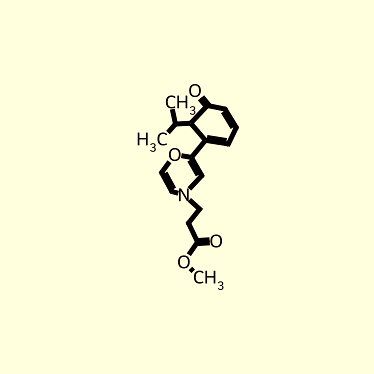 COC(=O)CCN1C=COC(C2=CC=CC(=O)C2C(C)C)=C1